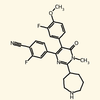 COc1ccc(-c2c(-c3ccc(C#N)c(F)c3)nc(C3CCCNCC3)n(C)c2=O)cc1F